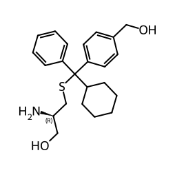 N[C@H](CO)CSC(c1ccccc1)(c1ccc(CO)cc1)C1CCCCC1